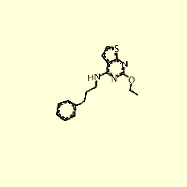 CCOc1nc(NCCCc2ccccc2)c2ccsc2n1